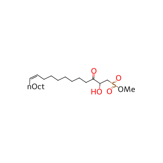 CCCCCCCC/C=C\CCCCCCCC(=O)C(O)CS(=O)(=O)OC